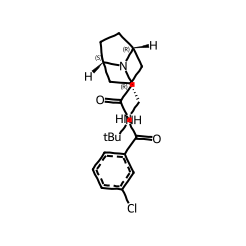 CC(C)(C)NC(=O)CN1[C@@H]2CC[C@H]1C[C@@H](CNC(=O)c1cccc(Cl)c1)C2